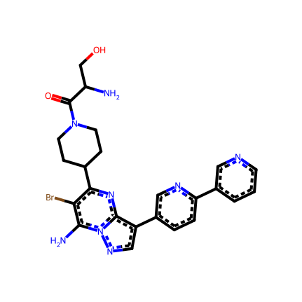 Nc1c(Br)c(C2CCN(C(=O)C(N)CO)CC2)nc2c(-c3ccc(-c4cccnc4)nc3)cnn12